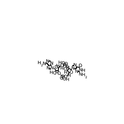 Nc1nc2c(ncn2[C@@H]2O[C@@H]3COP(=O)(O)CO[C@H]4[C@@H](O)[C@H](n5cnc6c(N)ncnc65)O[C@@H]4COP(=O)(O)O[C@@H]2[C@@H]3O)c(=O)[nH]1